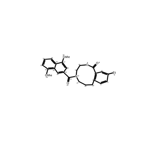 CCc1ccc2c(c1)C(=O)OCCN(C(=O)c1cc(OC)c3cccc(OC)c3c1)CCC2